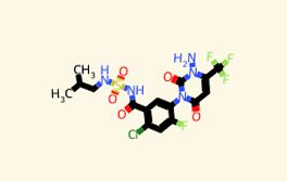 CC(C)CNS(=O)(=O)NC(=O)c1cc(-n2c(=O)cc(C(F)(F)F)n(N)c2=O)c(F)cc1Cl